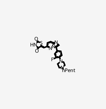 CCCCCN1CCN(c2ccc(-c3cnc4ccc(/C=C5\SC(=O)NC5=O)nn34)cc2F)CC1